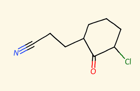 N#CCCC1CCCC(Cl)C1=O